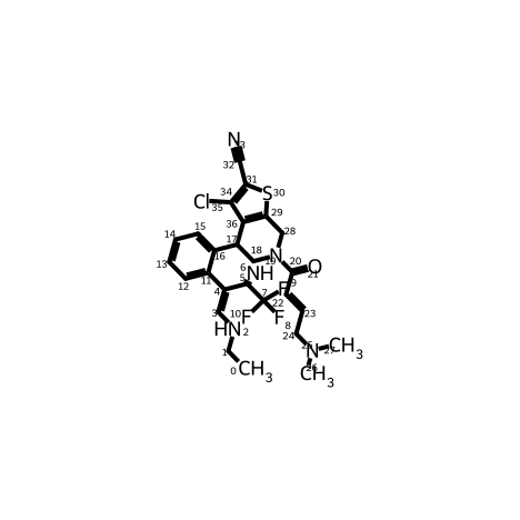 CCN/C=C(\C(=N)C(F)(F)F)c1ccccc1C1CN(C(=O)/C=C/CN(C)C)Cc2sc(C#N)c(Cl)c21